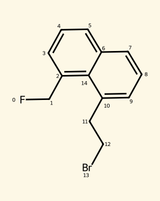 FCc1cccc2cccc(CCBr)c12